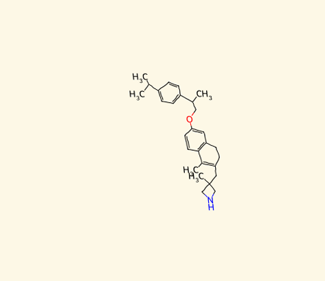 CC1=C(CC2(C)CNC2)CCc2cc(OCC(C)c3ccc(C(C)C)cc3)ccc21